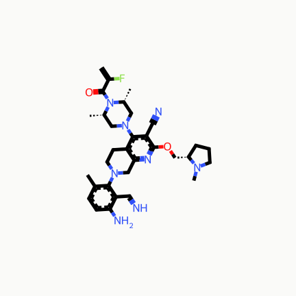 C=C(F)C(=O)N1[C@H](C)CN(c2c(C#N)c(OC[C@@H]3CCCN3C)nc3c2CCN(c2c(C)ccc(N)c2C=N)C3)C[C@@H]1C